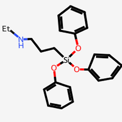 CCNCCC[Si](Oc1ccccc1)(Oc1ccccc1)Oc1ccccc1